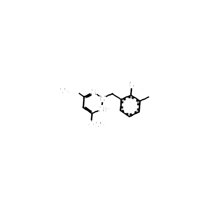 COC1=CC(OC)=NN(Cc2cccc(C)c2N)N1